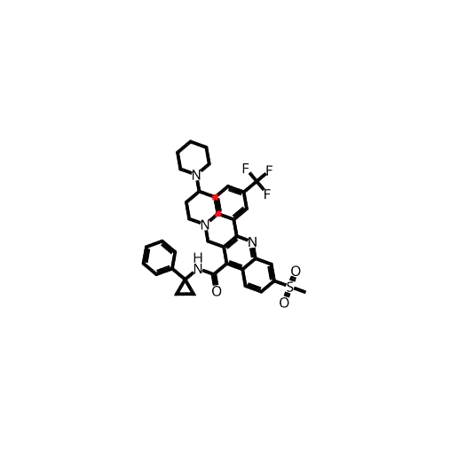 CS(=O)(=O)c1ccc2c(C(=O)NC3(c4ccccc4)CC3)c(CN3CCC(N4CCCCC4)CC3)c(-c3cccc(C(F)(F)F)c3)nc2c1